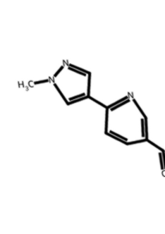 Cn1cc(-c2ccc(C=O)cn2)cn1